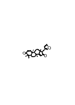 CC1(C)C(=O)C=C[C@@]2(C)C1C[CH][C@@]1(C)C3=CC(=O)C(c4ccoc4)C3(C)CCC21